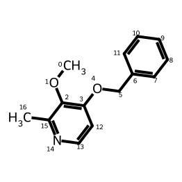 COc1c(OCc2ccccc2)ccnc1C